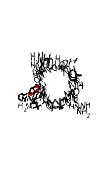 CC[C@H](C)C1NC(=O)[C@@H](CCCNC(=N)N)NC(=O)[C@H](CC(C)C)NC(=O)[C@H]([C@H](O)C(C)C)NC(=O)[C@@H](NC(=O)[C@H](Cc2ccccn2)NC(=O)[C@H](N)CC(C)(C)C)[C@@H](c2ccccc2)OC(=O)[C@H](CO)NC(=O)[C@H]([C@H](O)C(N)=O)NC(=O)CNC(=O)[C@H]([C@H](C)O)NC1=O